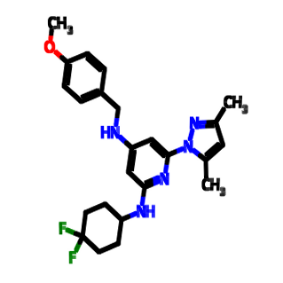 COc1ccc(CNc2cc(NC3CCC(F)(F)CC3)nc(-n3nc(C)cc3C)c2)cc1